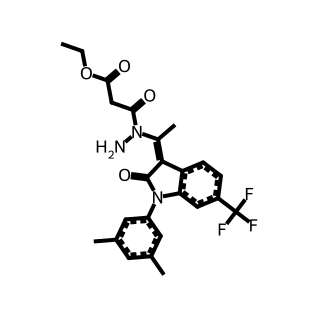 CCOC(=O)CC(=O)N(N)/C(C)=C1\C(=O)N(c2cc(C)cc(C)c2)c2cc(C(F)(F)F)ccc21